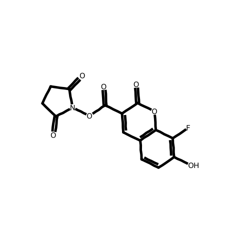 O=C(ON1C(=O)CCC1=O)c1cc2ccc(O)c(F)c2oc1=O